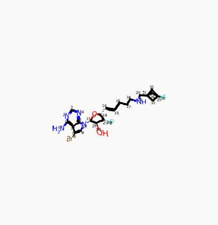 Nc1ncnc2c1c(Br)cn2[C@@H]1O[C@H](/C=C/CCCNCC23CC(F)(C2)C3)[C@H](F)[C@H]1O